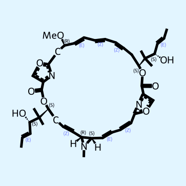 C/C=C/[C@H](O)C(C)(C)[C@@H]1C\C=C/C=C\C=C\[C@H](OC)Cc2nc(co2)C(=O)O[C@H](C(C)(C)[C@@H](O)/C=C/C)C/C=C\[C@@H]2[C@H](/C=C/C=C\c3nc(co3)C(=O)O1)N2C